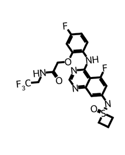 O=C(COc1cc(F)ccc1Nc1ncnc2cc(N=S3(=O)CCC3)cc(F)c12)NCC(F)(F)F